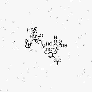 CC(=O)OCc1ccc(OCCOCCNC(=O)[C@H](CS(=O)(=O)O)NC(=O)CCN2C(=O)C=CC2=O)cc1O[C@@H]1O[C@H](C(=O)O)[C@@H](O)[C@H](O)[C@H]1O